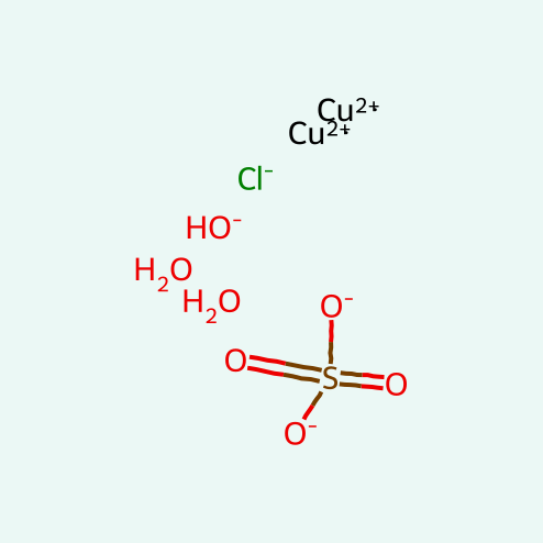 O.O.O=S(=O)([O-])[O-].[Cl-].[Cu+2].[Cu+2].[OH-]